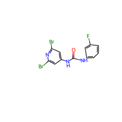 O=C(Nc1cccc(F)c1)Nc1cc(Br)nc(Br)c1